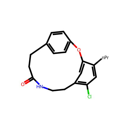 CCCc1cc(Cl)c2cc1Oc1ccc(cc1)CCC(=O)NCC2